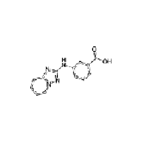 O=C(O)c1cccc(Nc2nc3ccccn3n2)c1